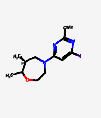 COc1nc(I)cc(N2CCOC(C)[C@@H](C)C2)n1